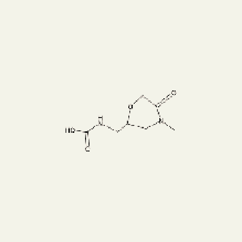 CN1CC(CNC(=O)O)OCC1=O